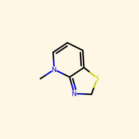 CN1C=CC=C2SCN=C21